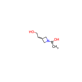 CB(O)N1CC(=CCO)C1